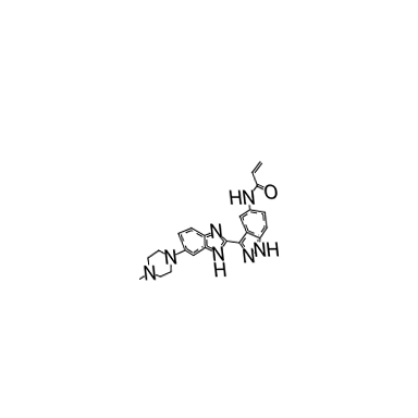 C=CC(=O)Nc1ccc2[nH]nc(-c3nc4ccc(N5CCN(C)CC5)cc4[nH]3)c2c1